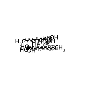 CCCCCCCCCCCCN(CCO)C(O)(O)CC.CCCCCCCCCCCCNCCC(O)(O)O